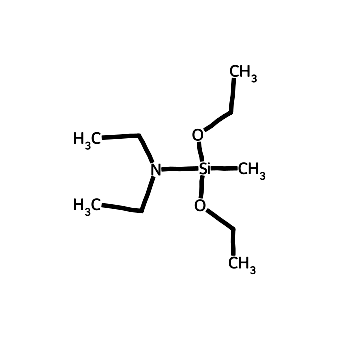 CCO[Si](C)(OCC)N(CC)CC